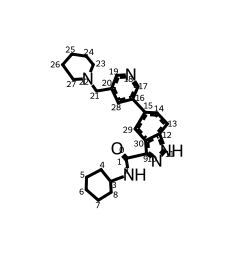 O=C(NC1CCCCC1)c1n[nH]c2ccc(-c3cncc(CN4CCCCC4)c3)cc12